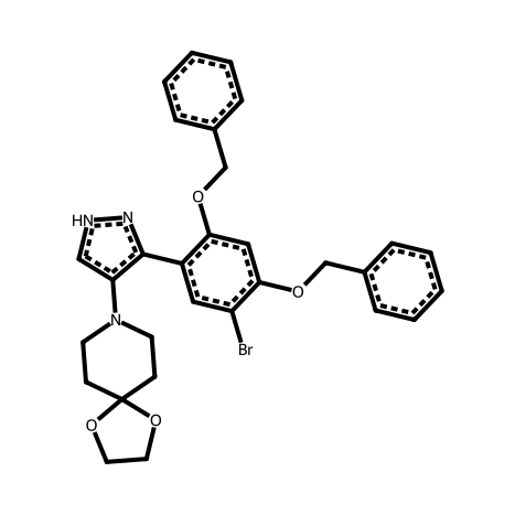 Brc1cc(-c2n[nH]cc2N2CCC3(CC2)OCCO3)c(OCc2ccccc2)cc1OCc1ccccc1